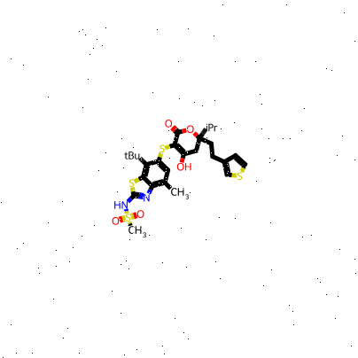 Cc1cc(SC2=C(O)CC(CCc3ccsc3)(C(C)C)OC2=O)c(C(C)(C)C)c2sc(NS(C)(=O)=O)nc12